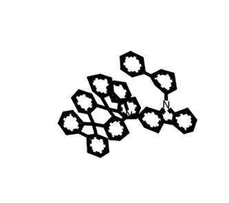 c1ccc(-c2cccc(-n3c4ccccc4c4ccc(N(c5ccccc5)c5cccc6c5C5(c7ccccc7-c7ccccc75)c5ccccc5C65c6ccccc6-c6ccccc65)cc43)c2)cc1